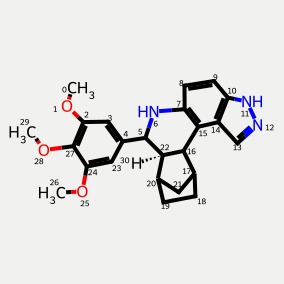 COc1cc(C2Nc3ccc4[nH]ncc4c3C3C4CCC(C4)[C@@H]23)cc(OC)c1OC